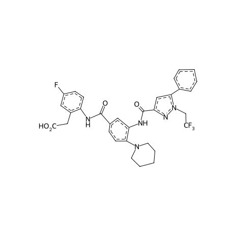 O=C(O)Cc1cc(F)ccc1NC(=O)c1ccc(N2CCCCC2)c(NC(=O)c2cc(-c3ccccc3)n(CC(F)(F)F)n2)c1